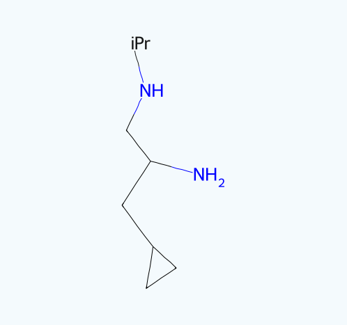 CC(C)NCC(N)CC1CC1